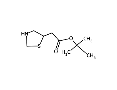 CC(C)(C)OC(=O)CC1CNCS1